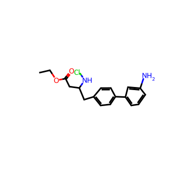 CCOC(=O)CC(Cc1ccc(-c2cccc(N)c2)cc1)NCl